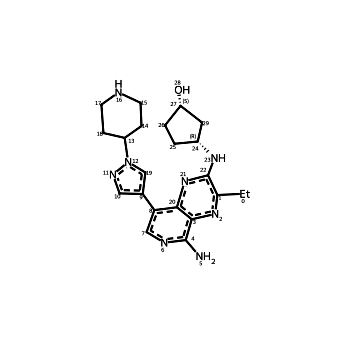 CCc1nc2c(N)ncc(-c3cnn(C4CCNCC4)c3)c2nc1N[C@@H]1CC[C@H](O)C1